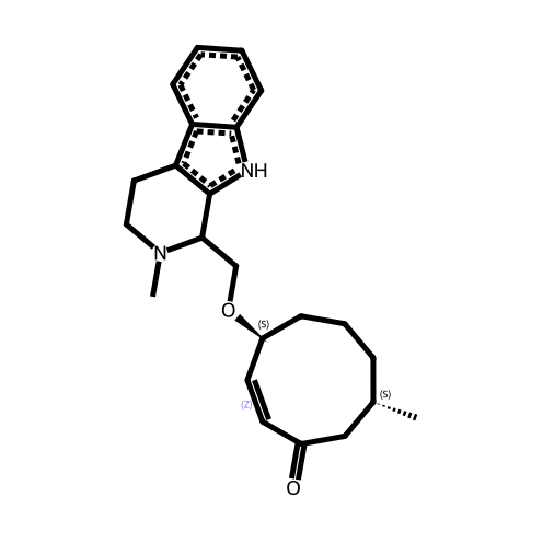 C[C@H]1CCC[C@H](OCC2c3[nH]c4ccccc4c3CCN2C)/C=C\C(=O)C1